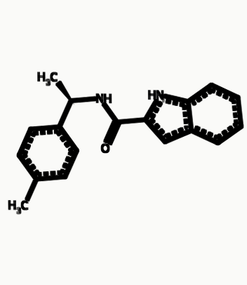 Cc1ccc([C@@H](C)NC(=O)c2cc3ccccc3[nH]2)cc1